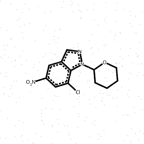 O=[N+]([O-])c1cc(Cl)c2c(cnn2C2CCCCO2)c1